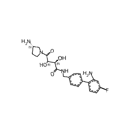 Nc1cc(F)ccc1-c1ccc(CNC(=O)[C@H](O)[C@@H](O)C(=O)N2CC[C@H](N)C2)cc1